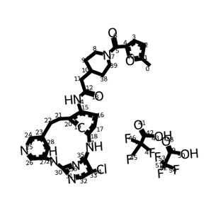 Cc1ccc(C(=O)N2CCC(CC(=O)Nc3ccc4cc3CCc3cncc(c3)Nc3ncc(Cl)c(n3)N4)CC2)o1.O=C(O)C(F)(F)F.O=C(O)C(F)(F)F